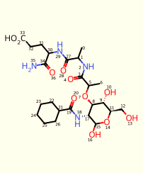 CC(NC(=O)C(C)O[C@H]1[C@H](O)[C@@H](CO)OC(O)[C@@H]1NC(=O)C1CCCCC1)C(=O)NC(CCC(=O)O)C(N)=O